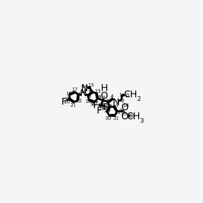 C=CCn1cc(C(O)(c2ccc3c(cnn3-c3ccc(F)cc3)c2)C(F)(F)F)c2cccc(C(=O)OC)c21